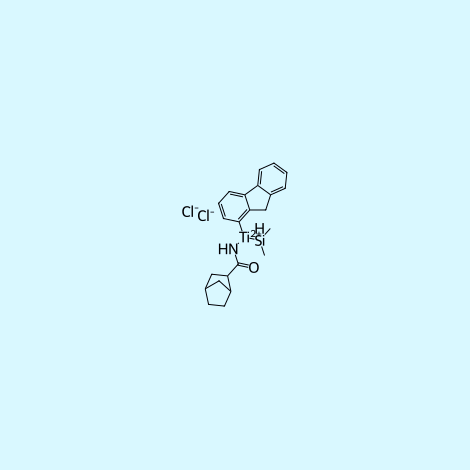 C[SiH](C)[Ti+2]([NH]C(=O)C1CC2CCC1C2)[c]1cccc2c1Cc1ccccc1-2.[Cl-].[Cl-]